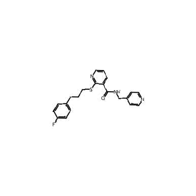 O=C(NCc1ccncc1)c1cccnc1SCCCc1ccc(F)cc1